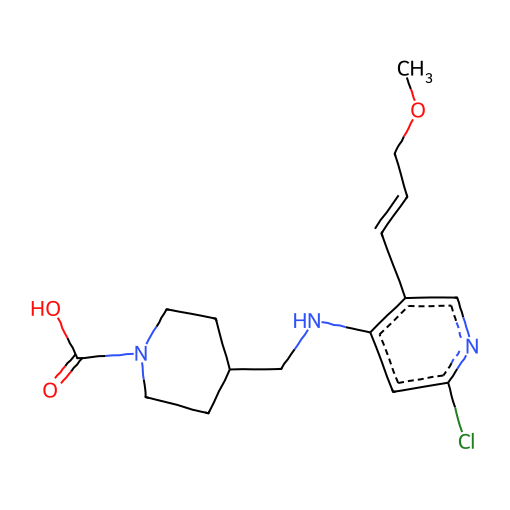 COC/C=C/c1cnc(Cl)cc1NCC1CCN(C(=O)O)CC1